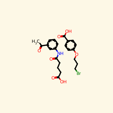 CC(=O)c1cccc(NC(=O)CCCC(=O)O)c1.O=C(O)c1ccc(OCCCBr)cc1